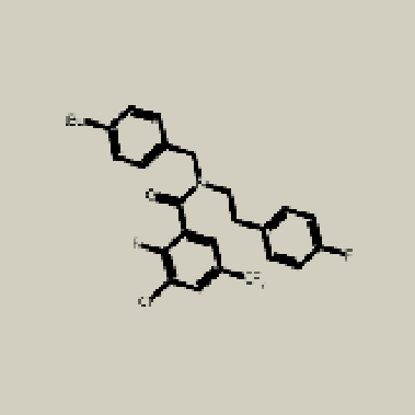 CC(C)(C)c1ccc(CN(CCc2ccc(F)cc2)C(=O)c2cc(C(F)(F)F)cc(Cl)c2F)cc1